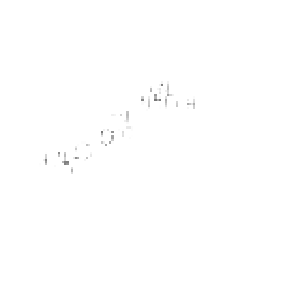 CCc1noc(N2CCC(N(C(=O)c3ccc(-c4ccc(C(N)=O)cc4)cc3)C3CC3)CC2)n1